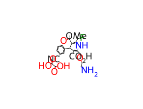 COC(=O)C1=C(CF)NC(COCCN)=C(C(=O)O)C1c1cccc(C#N)c1.O=C(O)C(=O)O